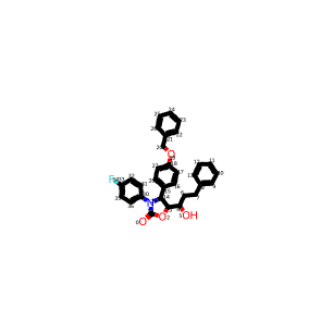 O=C1OC(C(O)CCc2ccccc2)C(c2ccc(OCc3ccccc3)cc2)N1c1ccc(F)cc1